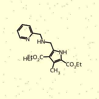 CCOC(=O)c1[nH]c(CNCc2ccccn2)c(C(=O)OCC)c1C.Cl